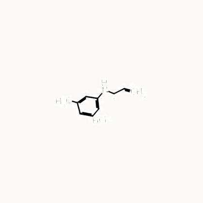 C=CCNc1cccc(C)c1.Cl